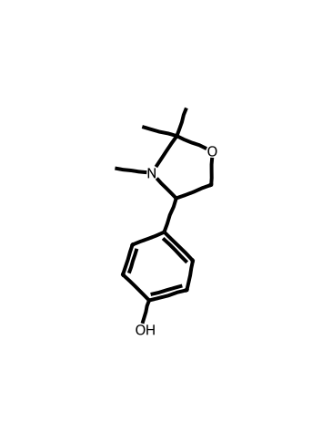 CN1C(c2ccc(O)cc2)COC1(C)C